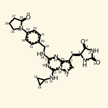 O=C1NC(=O)/C(=C/c2cnn3c(NC4CC4)nc(NCc4ccc(N5CCCC5=O)cc4)nc23)N1